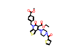 CCOC(=O)c1c(N2CCN(C(=O)c3cccs3)CC2)c2cscc2n(Cc2ccc(C(=O)OC)cc2)c1=O